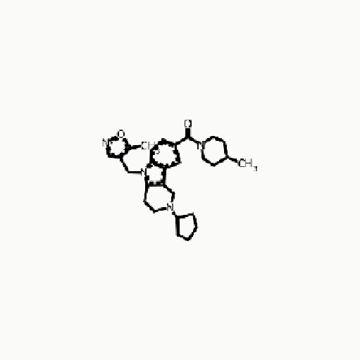 Cc1oncc1Cn1c2c(c3cc(C(=O)N4CCC(C)CC4)ccc31)CN(C1CCCC1)CC2